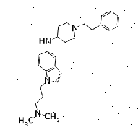 CN(C)CCCn1ccc2cc(NC3CCN(CCc4ccccc4)CC3)ccc21